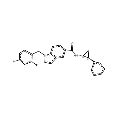 O=C(N[C@@H]1C[C@H]1c1ccccc1)c1ccc2c(ccn2Cc2ccc(F)cc2F)c1